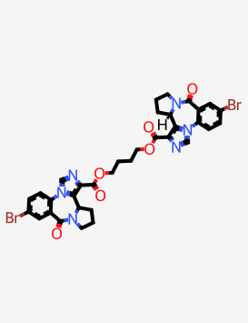 O=C(OCCCCOC(=O)c1ncn2c1[C@@H]1CCCN1C(=O)c1cc(Br)ccc1-2)c1ncn2c1C1CCCN1C(=O)c1cc(Br)ccc1-2